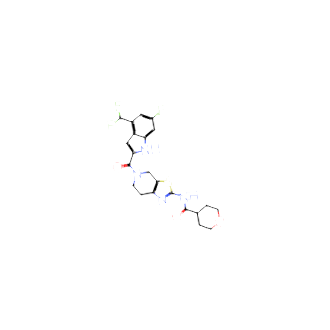 O=C(Nc1nc2c(s1)CN(C(=O)c1cc3c(C(F)F)cc(F)cc3[nH]1)CC2)C1CCOCC1